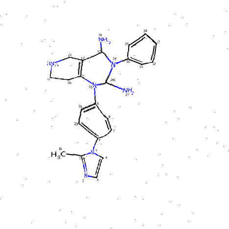 Cc1nccn1-c1ccc(N2C3=C(CNCC3)C(N)N(c3ccccc3)C2N)cc1